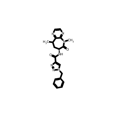 CC1C[C@H](NC(=O)c2cn(Cc3ccccc3)nn2)C(=O)N(C)c2nccnc21